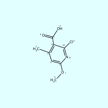 COc1cc(C)c(C(=O)O)c(Cl)n1